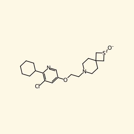 [O-][S+]1CC2(CCN(CCOc3cnc(C4CCCCC4)c(Cl)c3)CC2)C1